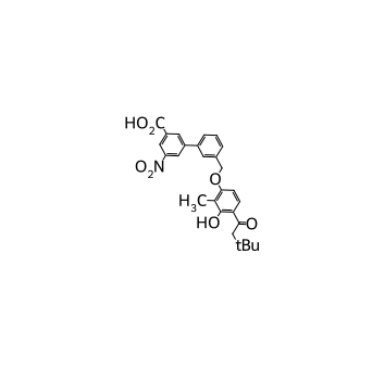 Cc1c(OCc2cccc(-c3cc(C(=O)O)cc([N+](=O)[O-])c3)c2)ccc(C(=O)CC(C)(C)C)c1O